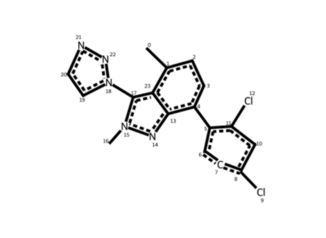 Cc1ccc(-c2ccc(Cl)cc2Cl)c2nn(C)c(-n3ccnn3)c12